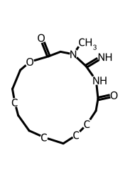 CN1CC(=O)OCCCCCCCCCCC(=O)NC1=N